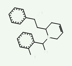 CC(c1ccccc1O)N1CC=CCC1C[C@@H](O)c1ccccc1